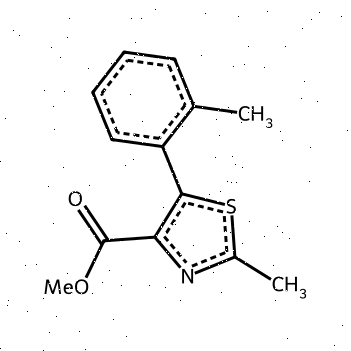 COC(=O)c1nc(C)sc1-c1ccccc1C